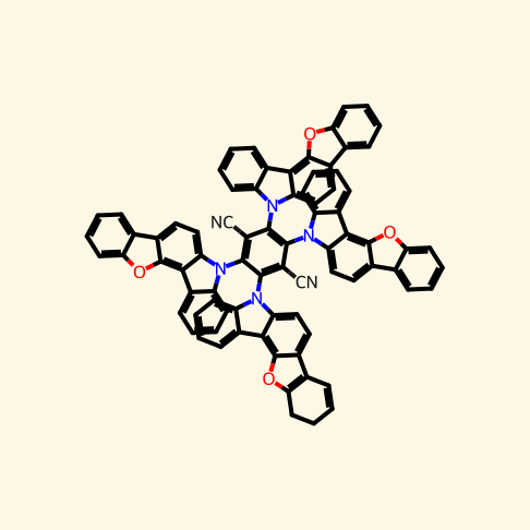 N#Cc1c(-n2c3ccccc3c3c4oc5c(c4ccc32)C=CCC5)c(-n2c3ccccc3c3c4oc5ccccc5c4ccc32)c(C#N)c(-n2c3ccccc3c3c4oc5ccccc5c4ccc32)c1-n1c2ccccc2c2c3oc4ccccc4c3ccc21